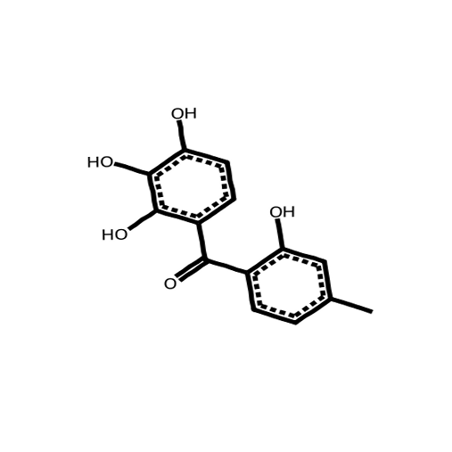 Cc1ccc(C(=O)c2ccc(O)c(O)c2O)c(O)c1